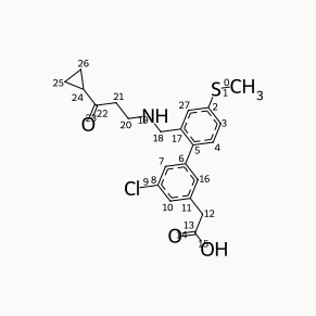 CSc1ccc(-c2cc(Cl)cc(CC(=O)O)c2)c(CNCCC(=O)C2CC2)c1